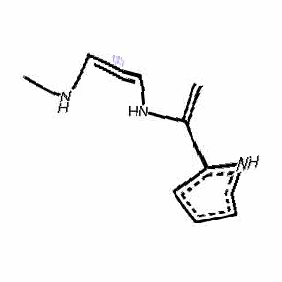 C=C(N/C=C\NC)c1ccc[nH]1